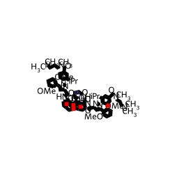 COc1cccc(OC)c1-c1cc(C(=O)NC2(C(=O)OC(=O)/C=C\C(=O)OC34CC5CC(CC(C5)C3(NC(=O)c3cc(-c5c(OC)cccc5OC)n(-c5ccc(C(=O)N(C)CCCN(C)C)cc5C(C)C)n3)C(=O)O)C4)C3CC4CC(C3)CC2C4)nn1-c1ccc(C(=O)N(C)CCCN(C)C)cc1C(C)C